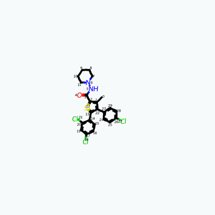 Cc1c(C(=O)NN2CCCCC2)sc(-c2ccc(Cl)cc2Cl)c1-c1ccc(Cl)cc1